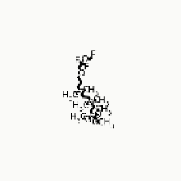 CO[Si](CC[Si](C)(C)CC[Si](C)(C)CCCOCC(F)(F)OCF)(OC)OC